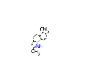 Cc1cc2c([nH]1)-c1cccc(C)c1CC2